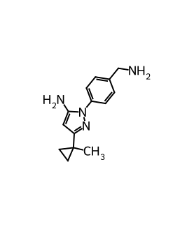 CC1(c2cc(N)n(-c3ccc(CN)cc3)n2)CC1